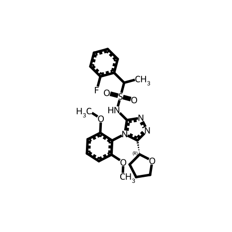 COc1cccc(OC)c1-n1c(NS(=O)(=O)C(C)c2ccccc2F)nnc1[C@H]1CCCO1